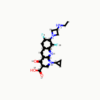 CCNC1CN(c2c(F)cc3cc4c(=O)c(C(=O)O)cn(C5CC5)c4nc3c2F)C1